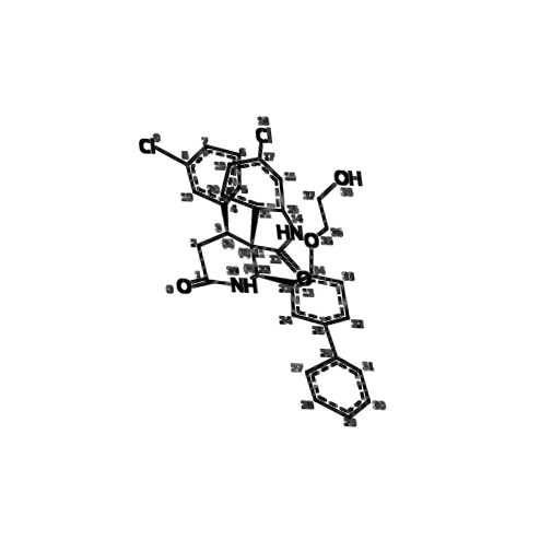 O=C1C[C@@H](c2cccc(Cl)c2)[C@]2(C(=O)Nc3cc(Cl)ccc32)[C@@H](c2cc(-c3ccccc3)ccc2OCCO)N1